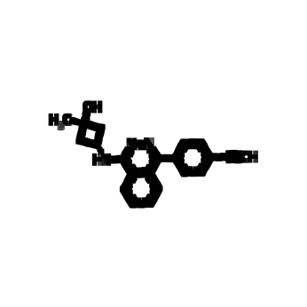 C#Cc1ccc(-c2nnc(N[C@H]3C[C@@](C)(O)C3)c3ccccc23)cc1